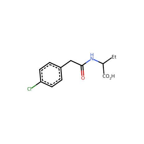 CCC(NC(=O)Cc1ccc(Cl)cc1)C(=O)O